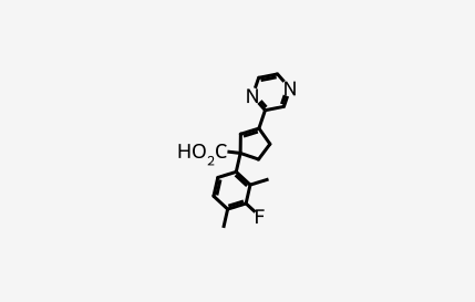 Cc1ccc(C2(C(=O)O)C=C(c3cnccn3)CC2)c(C)c1F